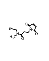 CC(C)CN(C)C(=O)CCN1C(=O)C=CC1=O